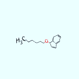 CCCCCCOC1C=Cc2ccccc21